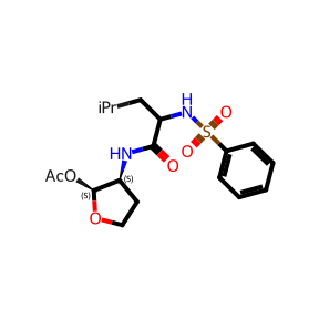 CC(=O)O[C@@H]1OCC[C@@H]1NC(=O)C(CC(C)C)NS(=O)(=O)c1ccccc1